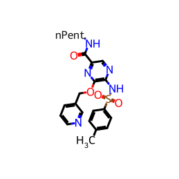 CCCCCNC(=O)c1cnc(NS(=O)(=O)c2ccc(C)cc2)c(OCc2cccnc2)n1